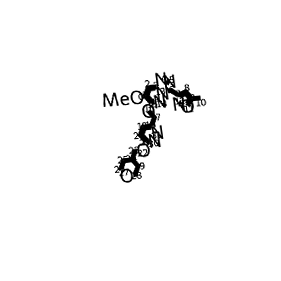 COc1cc2nnc(-c3cc(C)on3)n2nc1OCc1ccc(OCC2CCOCC2)nn1